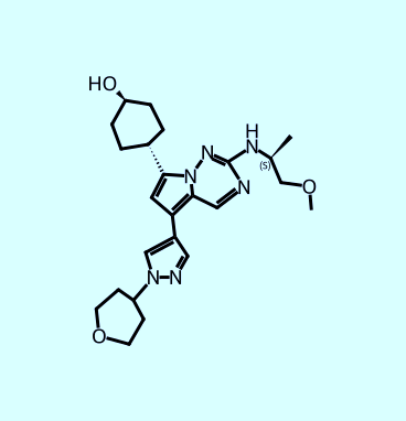 COC[C@H](C)Nc1ncc2c(-c3cnn(C4CCOCC4)c3)cc([C@H]3CC[C@H](O)CC3)n2n1